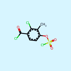 Cc1c(OS(=O)(=O)Cl)ccc(C(=O)Cl)c1Cl